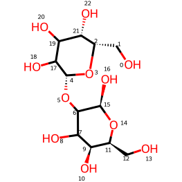 OC[C@@H]1O[C@H](OC2C(O)[C@H](O)[C@H](CO)O[C@@H]2O)C(O)C(O)[C@@H]1O